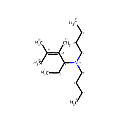 CCCCN(CCCC)C(CC)C(C)=C(C)[SiH3]